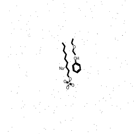 CCCCCCCCCOS(=O)(=O)[O-].CCOCC.Oc1ccccc1.[Na+]